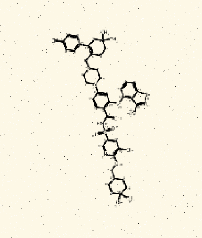 CC1(C)CCC(CN2CCN(c3ccc(C(=O)NS(=O)(=O)c4cnc(OCC5CCC(C)(O)CC5)c(Cl)c4)c(Oc4cccc5[nH]nc(N)c45)c3)CC2)=C(c2ccc(Cl)cc2)C1